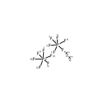 F[P-](F)(F)(F)(F)F.F[P-](F)(F)(F)(F)F.[K+].[K+]